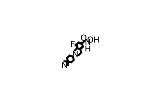 CN1CC2(CCC(N3CCc4cc(C(=O)NO)cc(F)c4C3)CC2)C1